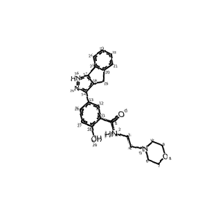 O=C(NCCN1CCOCC1)c1cc(-c2n[nH]c3c2Cc2ccccc2-3)ccc1O